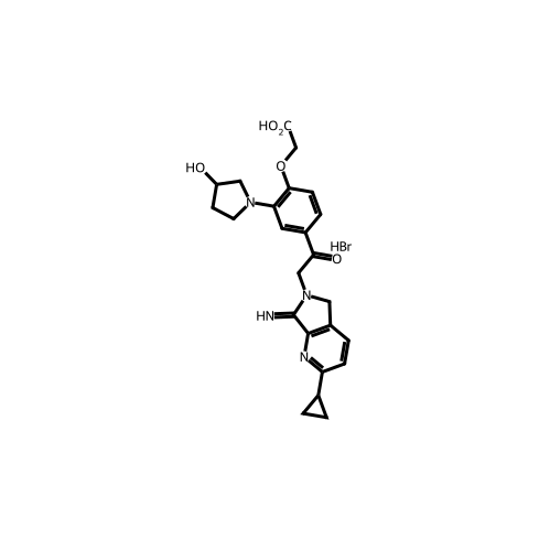 Br.N=C1c2nc(C3CC3)ccc2CN1CC(=O)c1ccc(OCC(=O)O)c(N2CCC(O)C2)c1